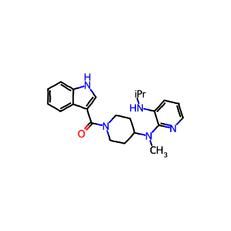 CC(C)Nc1cccnc1N(C)C1CCN(C(=O)c2c[nH]c3ccccc23)CC1